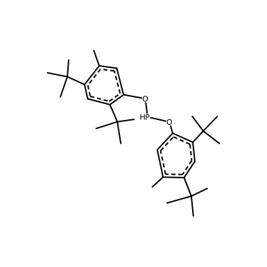 Cc1cc(OPOc2cc(C)c(C(C)(C)C)cc2C(C)(C)C)c(C(C)(C)C)cc1C(C)(C)C